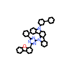 c1ccc(-c2cccc(-n3c4ccccc4c4c3ccc3c5ccccc5n(-c5nc(-c6ccccc6)nc(-c6cccc7c6oc6ccccc67)n5)c34)c2)cc1